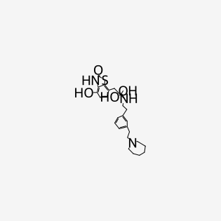 O=c1[nH]c2c(O)ccc(CC(O)(O)NCCc3cccc(CCN4CCCCCC4)c3)c2s1